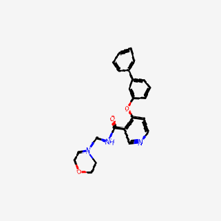 O=C(NCN1CCOCC1)c1cnccc1Oc1cccc(-c2ccccc2)c1